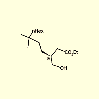 CCCCCCC(C)(C)CC[C@H](CO)CC(=O)OCC